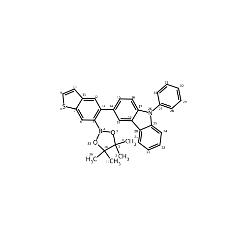 CC1(C)OB(c2cc3sccc3cc2-c2ccc3c(c2)c2ccccc2n3-c2ccccc2)OC1(C)C